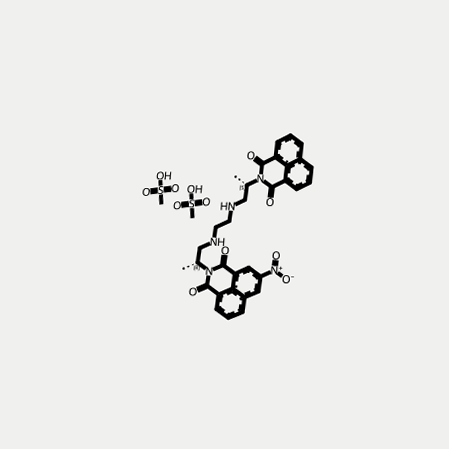 CS(=O)(=O)O.CS(=O)(=O)O.C[C@H](CNCCNC[C@H](C)N1C(=O)c2cccc3cccc(c23)C1=O)N1C(=O)c2cccc3cc([N+](=O)[O-])cc(c23)C1=O